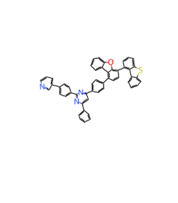 c1ccc(-c2cc(-c3ccc(-c4ccc(-c5cccc6sc7ccccc7c56)c5oc6ccccc6c45)cc3)nc(-c3ccc(-c4cccnc4)cc3)n2)cc1